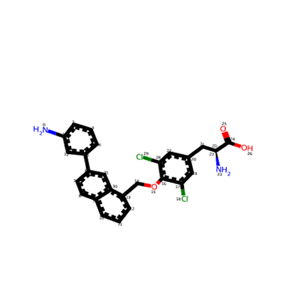 Nc1cccc(-c2ccc3cccc(COc4c(Cl)cc(C[C@H](N)C(=O)O)cc4Cl)c3c2)c1